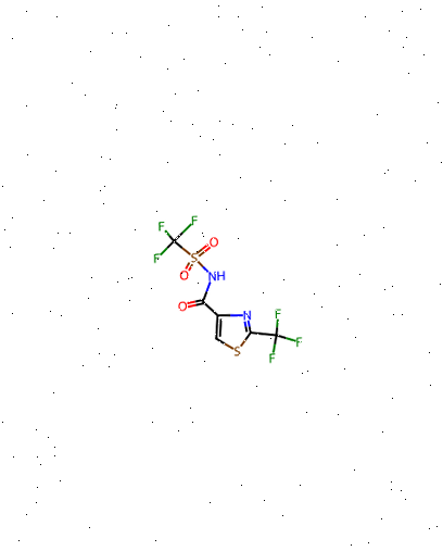 O=C(NS(=O)(=O)C(F)(F)F)c1csc(C(F)(F)F)n1